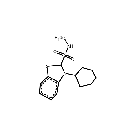 O=S(=O)([NH][GeH3])C1Sc2ccccc2N1C1CCCCC1